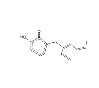 C=C/C(=C\C=C/C)Cn1cccc(O)c1=O